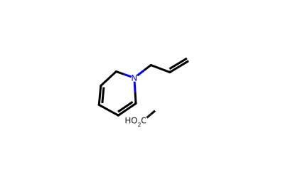 C=CCN1C=CC=CC1.CC(=O)O